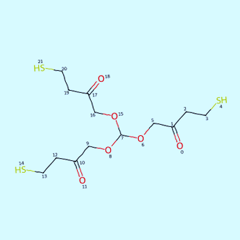 O=C(CCS)COC(OCC(=O)CCS)OCC(=O)CCS